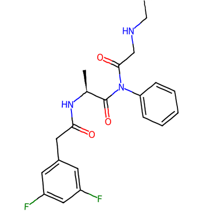 CC(C)CNCC(=O)N(C(=O)[C@H](C)NC(=O)Cc1cc(F)cc(F)c1)c1ccccc1